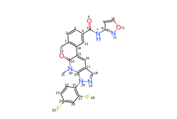 Cc1ccc(C(=O)Nc2ccon2)cc1-c1cc2cnn(-c3ccc(F)cc3F)c2n(C)c1=O